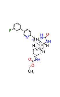 CCOC(=O)N[C@@H]1CC[C@@H]2[C@@H](C1)C[C@H]1NC(=O)N[C@H]1[C@H]2/C=C/c1ccc(-c2cccc(F)c2)cn1